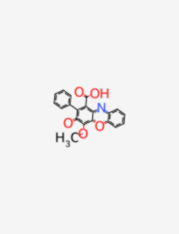 COc1c2oc3ccccc3nc-2c(C(=O)O)c(-c2ccccc2)c1=O